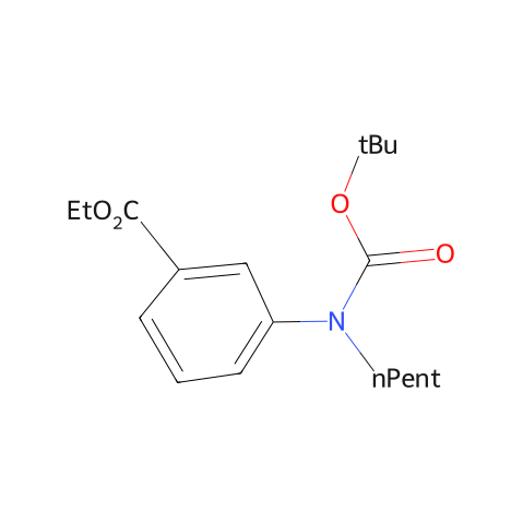 CCCCCN(C(=O)OC(C)(C)C)c1cccc(C(=O)OCC)c1